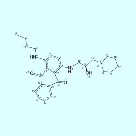 CCOCNc1ccc(NC[C@H](O)CN2CCCCC2)c2c1C(=O)c1ccccc1C2=O